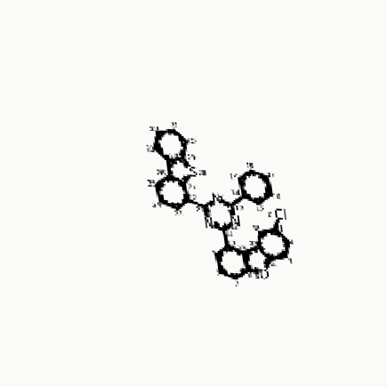 Clc1ccc2oc3cccc(-c4nc(-c5ccccc5)nc(-c5cccc6c5sc5ccccc56)n4)c3c2c1